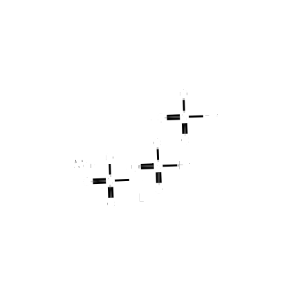 O=S(=O)([O-])F.O=S(=O)([O-])F.O=S(=O)([O-])F.[Li+].[Mn+2]